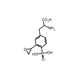 NC(Cc1ccc(P(=O)(O)O)c(C2CO2)c1)C(=O)O